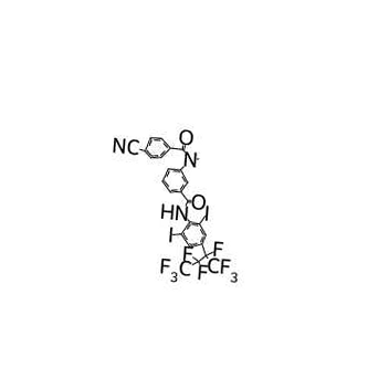 CN(C(=O)c1ccc(C#N)cc1)c1cccc(C(=O)Nc2c(I)cc(C(F)(C(F)(F)F)C(F)(F)C(F)(F)F)cc2I)c1